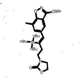 CCC[CH2][Sn]([CH2]CCC)([CH2]CCC)/[C](=C\c1cc(C)c2onc(OC)c2c1)CCN1CCOC1=O